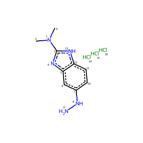 CN(C)c1nc2cc(NN)ccc2[nH]1.Cl.Cl.Cl